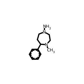 CN1CCN(N)CCC1c1ccccc1